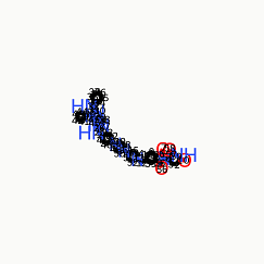 O=C1CCC(N2C(=O)c3ccc(CN4CCC(N5CCN(c6ccc(Nc7ncc8nc(Nc9ccccc9)n(C9CCCC9)c8n7)cc6)CC5)CC4)cc3C2=O)C(=O)N1